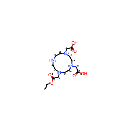 CCOC(=O)CN1CCNCCN(CC(=O)O)CCN(CC(=O)O)CC1